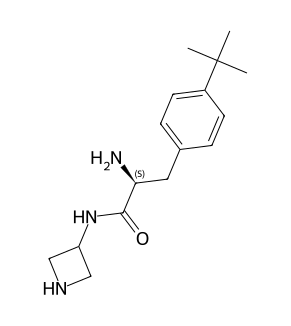 CC(C)(C)c1ccc(C[C@H](N)C(=O)NC2CNC2)cc1